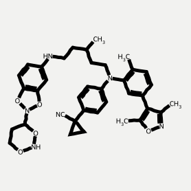 Cc1ccc(-c2c(C)noc2C)cc1N(CCC(C)CCNc1ccc2c(c1)ON(C1CCONO1)O2)c1ccc(C2(C#N)CC2)cc1